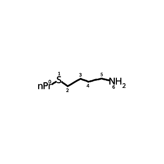 CCCSCCCCN